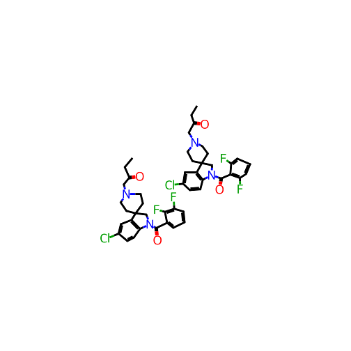 CCC(=O)CN1CCC2(CC1)CN(C(=O)c1c(F)cccc1F)c1ccc(Cl)cc12.CCC(=O)CN1CCC2(CC1)CN(C(=O)c1cccc(F)c1F)c1ccc(Cl)cc12